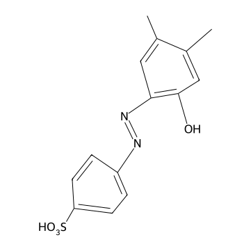 Cc1cc(O)c(/N=N/c2ccc(S(=O)(=O)O)cc2)cc1C